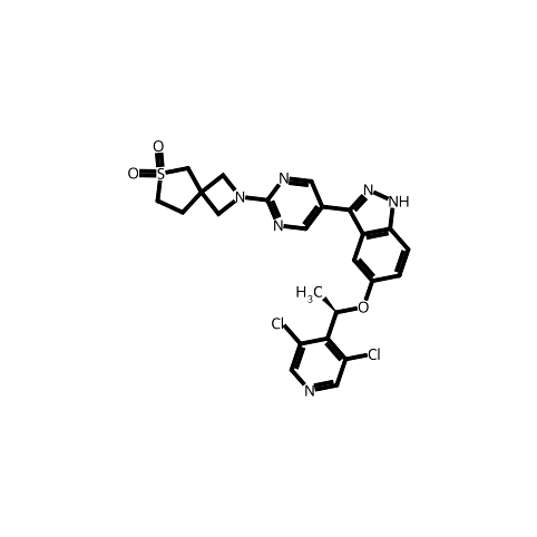 C[C@@H](Oc1ccc2[nH]nc(-c3cnc(N4CC5(CCS(=O)(=O)C5)C4)nc3)c2c1)c1c(Cl)cncc1Cl